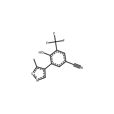 Cc1sncc1-c1cc(C#N)cc(C(F)(F)F)c1O